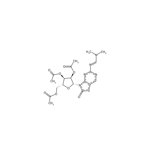 CC(=O)OC[C@H]1O[C@@H](n2c(=O)sc3cnc(/N=C/N(C)C)nc32)[C@H](OC(C)=O)[C@@H]1OC(C)=O